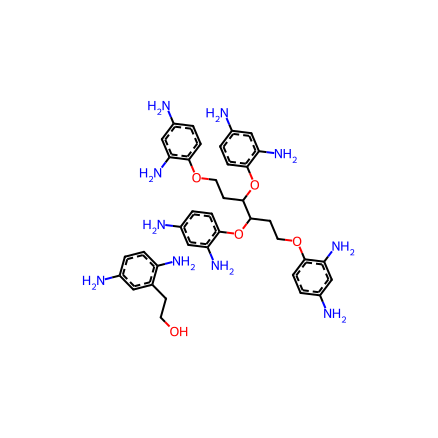 Nc1ccc(N)c(CCO)c1.Nc1ccc(OCCC(Oc2ccc(N)cc2N)C(CCOc2ccc(N)cc2N)Oc2ccc(N)cc2N)c(N)c1